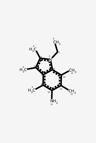 CCn1c(C)c(C)c2c(C)c(N)c(C)c(C)c21